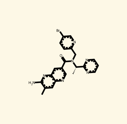 Cc1cc2ncc(C(=O)N(Cc3ccc(Br)cn3)[C@@H](C)c3ncccn3)cc2nc1N